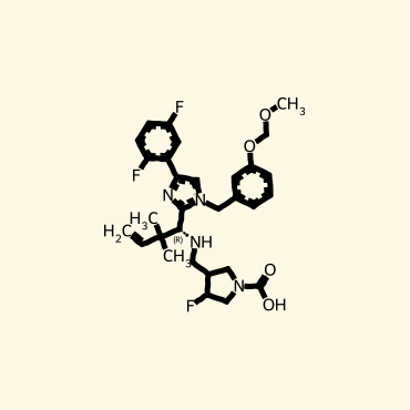 C=CC(C)(C)[C@@H](NCC1CN(C(=O)O)CC1F)c1nc(-c2cc(F)ccc2F)cn1Cc1cccc(OCOC)c1